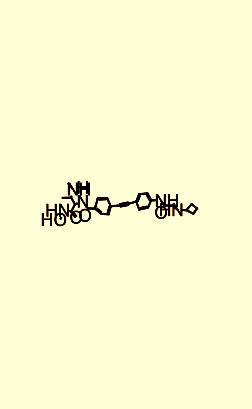 CNC(C)C(NC(=O)c1ccc(C#Cc2ccc(NC(=O)CNC3CCC3)cc2)cc1)C(=O)NO